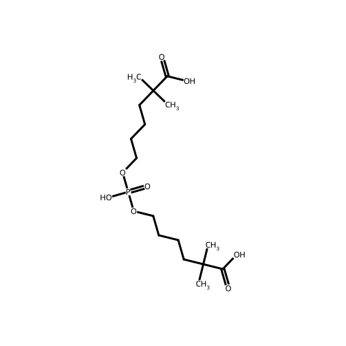 CC(C)(CCCCOP(=O)(O)OCCCCC(C)(C)C(=O)O)C(=O)O